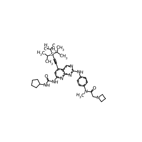 CC(C)[Si](C#Cc1cc(NC(=O)NC2CCCC2)nc2nc(Nc3ccc(N(C)C(=O)CN4CCC4)cc3)ncc12)(C(C)C)C(C)C